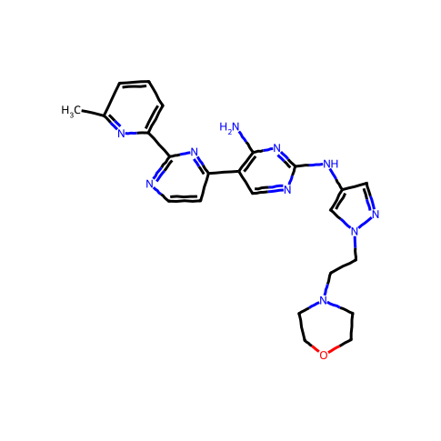 Cc1cccc(-c2nccc(-c3cnc(Nc4cnn(CCN5CCOCC5)c4)nc3N)n2)n1